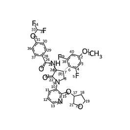 COc1cc(F)c([C@@H]2CN(c3cccnc3OC3CCOC3)C(=O)[C@H]2NC(=O)c2ccc(OC(F)F)cc2)c(F)c1